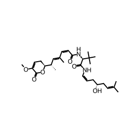 COC1=CC[C@@H]([C@@H](C)/C=C(C)/C=C\C(=O)N[C@H](C(=O)N/C=C\C[C@@H](O)CC=C(C)C)C(C)(C)C)OC1=O